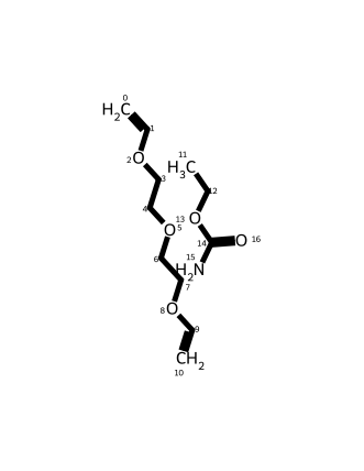 C=COCCOCCOC=C.CCOC(N)=O